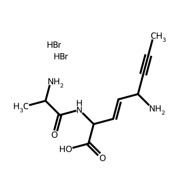 Br.Br.CC#CC(N)C=CC(NC(=O)C(C)N)C(=O)O